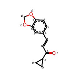 O=C(C=Cc1ccc2c(c1)OCO2)C1CC1